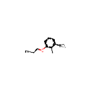 Cc1c(OCCC(C)C)cccc1[N+](=O)[O-]